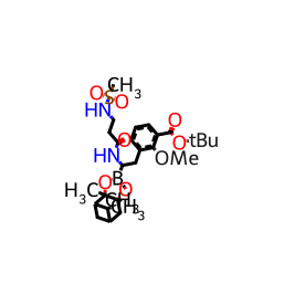 COc1c(CC(NC(=O)CCNS(C)(=O)=O)B2OC3CC4CC(C4(C)C)C3(C)O2)cccc1C(=O)OC(C)(C)C